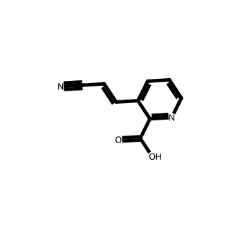 N#CC=Cc1cccnc1C(=O)O